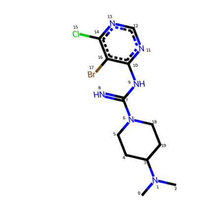 CN(C)C1CCN(C(=N)Nc2ncnc(Cl)c2Br)CC1